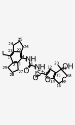 Cc1c2c(c(NC(=O)N[S+]([O-])c3cc4c(o3)CCCC4(C)O)c3c1CCC3)CCC2